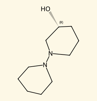 O[C@@H]1CCCN(N2CCCCC2)C1